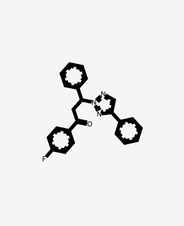 O=C(CC(c1ccccc1)n1ncc(-c2ccccc2)n1)c1ccc(F)cc1